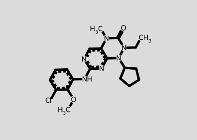 CCN1C(=O)N(C)c2cnc(Nc3cccc(Cl)c3OC)nc2N1C1CCCC1